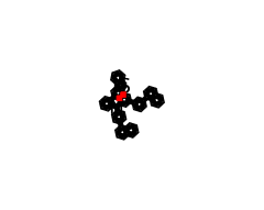 c1cc(-c2cccc(N(c3ccc(-c4cccc5ccccc45)cc3)c3ccccc3-c3ccc4sc5ccccc5c4c3)c2)cc(-c2cccc3ccccc23)c1